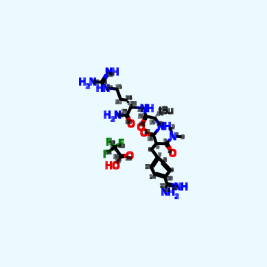 CN(C)C(=O)C(Cc1ccc(C(=N)N)cc1)C(=O)N[C@H](C(=O)N[C@@H](CCCNC(=N)N)C(N)=O)C(C)(C)C.O=C(O)C(F)(F)F